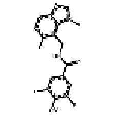 COc1c(F)cc(C(=O)NCc2c(C)ccc3ncn(C)c23)cc1F